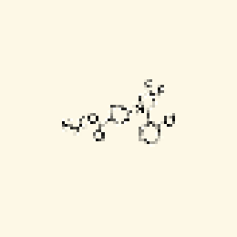 COC(=O)c1ccc(N2CC(F)(F)CC2c2ccccc2Cl)cc1